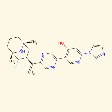 C=C(c1cnc(-c2cnc(-n3ccnc3)cc2O)cn1)[C@@H]1C[C@@]2(C)CCC[C@](C)(N2)[C@H]1F